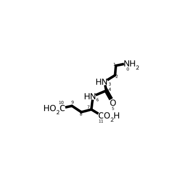 NCCNC(=O)NC(CCC(=O)O)C(=O)O